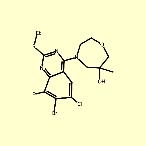 CCSc1nc(N2CCOCC(C)(O)C2)c2cc(Cl)c(Br)c(F)c2n1